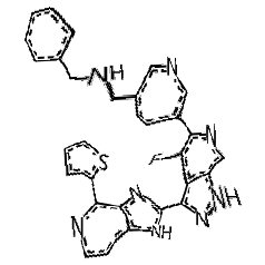 Fc1c(-c2cncc(CNCc3ccccc3)c2)ncc2[nH]nc(-c3nc4c(-c5cccs5)nccc4[nH]3)c12